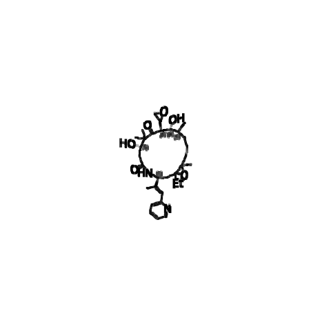 CCC12C[C@@H](C(C)=Cc3ccccn3)NC(=O)C[C@H](O)C(C)(C)C(=O)[C@@H](C3CO3)[C@H](O)[C@@H](C)CCCC1(C)O2